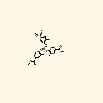 COC(=O)c1ccc(OB(Oc2ccc(C(=O)OC)cc2C)Oc2ccc(C(=O)OC)cc2C)c(C)c1